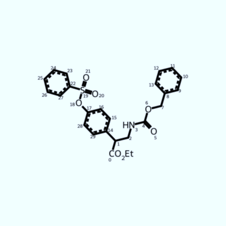 CCOC(=O)C(CNC(=O)OCc1ccccc1)c1ccc(OS(=O)(=O)c2ccccc2)cc1